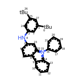 CC(C)(C)c1cc(Nc2ccc3c4ccccc4n(-c4ccccc4)c3c2)cc(C(C)(C)C)c1